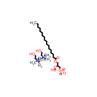 CCCCCCCCCCCCCCCCCC(=O)OCC(COP(=O)([O-])[O-])OO.C[N+](C)(C)CCO.C[N+](C)(C)CCO